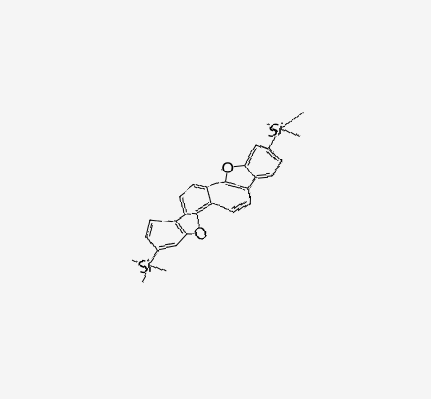 C[Si](C)(C)c1ccc2c(c1)oc1c2ccc2c1ccc1c3ccc([Si](C)(C)C)cc3oc12